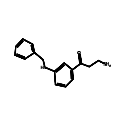 NCCC(=O)c1cccc(NCc2ccccc2)c1